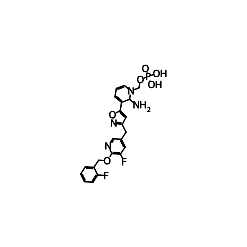 NC1C(c2cc(Cc3cnc(OCc4ccccc4F)c(F)c3)no2)=CC=CN1COP(=O)(O)O